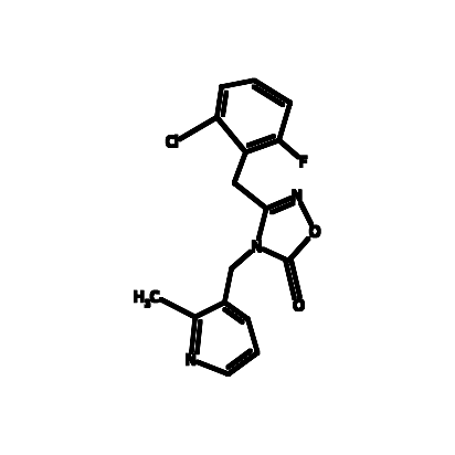 Cc1ncccc1Cn1c(Cc2c(F)cccc2Cl)noc1=O